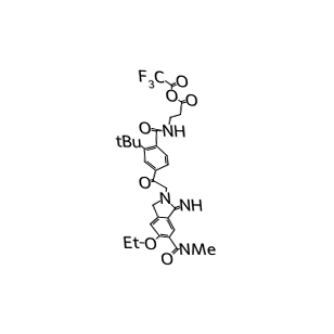 CCOc1cc2c(cc1C(=O)NC)C(=N)N(CC(=O)c1ccc(C(=O)NCCC(=O)OC(=O)C(F)(F)F)c(C(C)(C)C)c1)C2